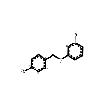 CCc1cccc(OCc2ccc(C#N)cc2)c1